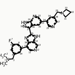 CN(C)Cc1cc(F)cc(-c2cncc3[nH]c(-c4n[nH]c5ncc(-c6cncc(CN7CCC7)c6)cc45)nc23)c1